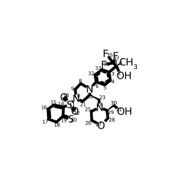 C[C@](O)(c1ccc(N2CCN(S(=O)(=O)C3=CC=CCC3=S)C[C@@H]2CN2CCOC[C@@H]2CO)cc1)C(F)(F)F